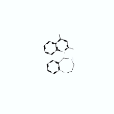 Clc1cc(Cl)c2ccccc2n1.c1ccc2c(c1)CNCCS2